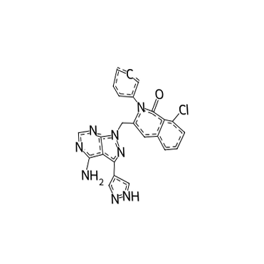 Nc1ncnc2c1c(-c1cn[nH]c1)nn2Cc1cc2cccc(Cl)c2c(=O)n1-c1ccccc1